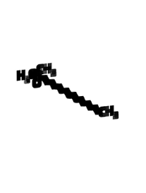 CCCCCCC=CC=CCCCCCCCC(=O)N(C)C